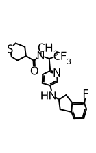 CN(C(=O)C1CCSCC1)C(c1ccc(NC2Cc3cccc(F)c3C2)cn1)C(F)(F)F